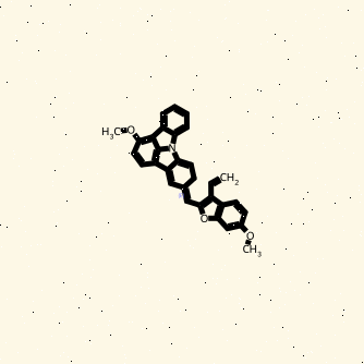 C=Cc1c(/C=C2/C=c3c(n4c5ccccc5c5c(OC)ccc3c54)=CC2)oc2cc(OC)ccc12